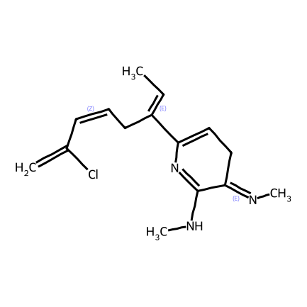 C=C(Cl)/C=C\C/C(=C\C)C1=CC/C(=N\C)C(NC)=N1